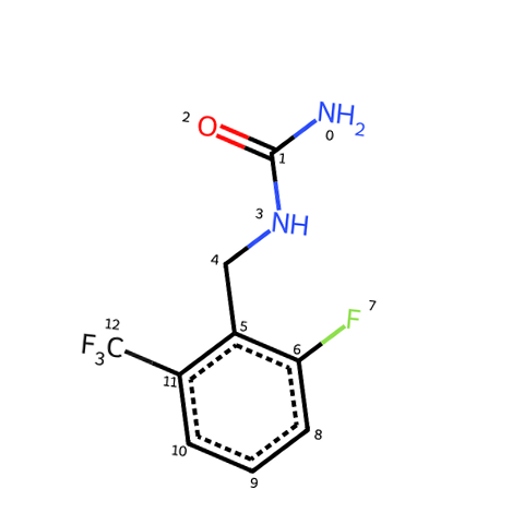 NC(=O)NCc1c(F)cccc1C(F)(F)F